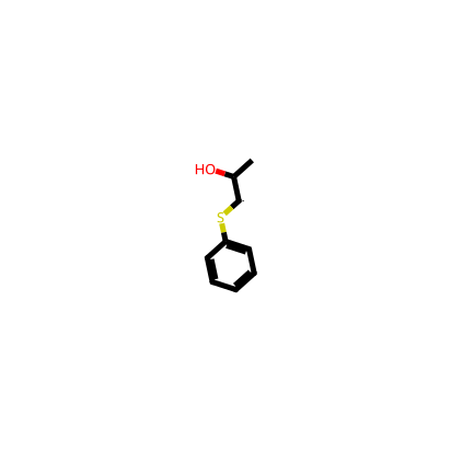 CC(O)[CH]Sc1ccccc1